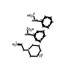 C=CCN1CCCCC1.O.O=C(O)Nc1ccccc1.O=C(O)Nc1ccccc1